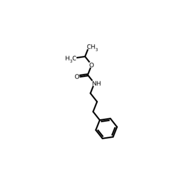 CC(C)OC(=O)NCCCc1ccccc1